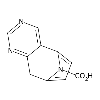 O=C(O)n1c2ccc1-c1cncnc1C2